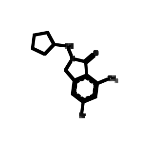 Cc1cc(Br)cc2c1C(=O)N(NC1CCCC1)C2